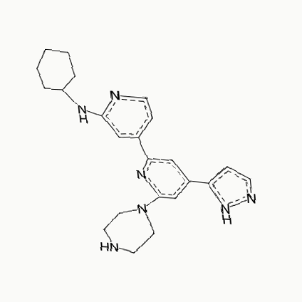 c1cc(-c2cc(-c3ccnc(NC4CCCCC4)c3)nc(N3CCNCC3)c2)[nH]n1